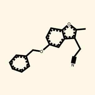 Cc1oc2ccc(OCc3ccccc3)cc2c1CC#N